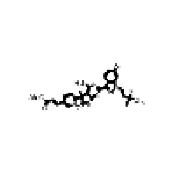 COC(=O)C=Cc1ccc(C2(C)C(=O)Nc3nc(-c4nn(CCC(F)(F)C(F)(F)F)c5cc(Cl)ccc45)nc(N)c32)nc1